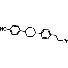 CC(C)CCc1ccc([C@H]2CC[C@H](c3ccc(C#N)cc3)CC2)cc1